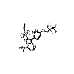 CCS(=O)(=O)c1nn2c(NC)ccnc2c1-c1ccc(OCC(F)(F)C(F)(F)F)nn1